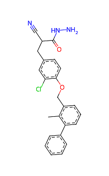 Cc1c(COc2ccc(CC(C#N)C(=O)NN)cc2Cl)cccc1-c1ccccc1